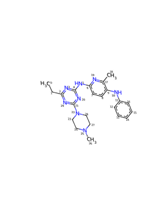 CCc1nc(Nc2ccc(Nc3ccccc3)c(C)n2)nc(N2CCN(C)CC2)n1